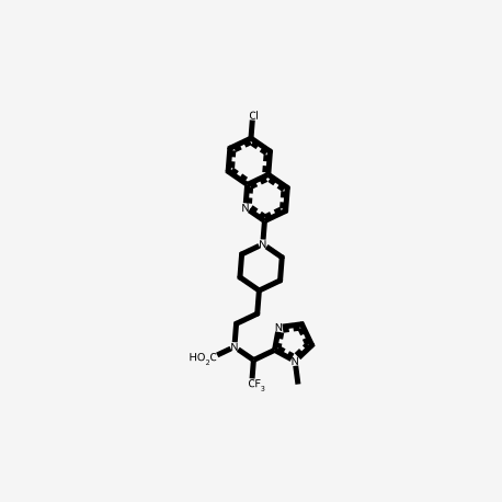 Cn1ccnc1C(N(CCC1CCN(c2ccc3cc(Cl)ccc3n2)CC1)C(=O)O)C(F)(F)F